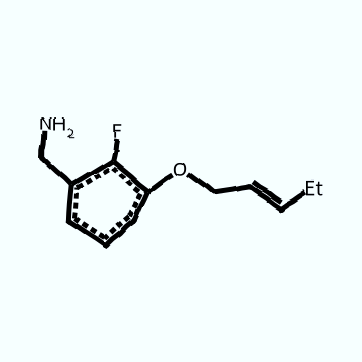 CCC=CCOc1cccc(CN)c1F